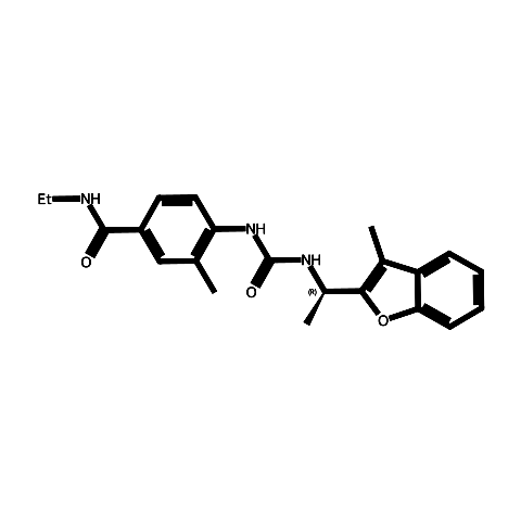 CCNC(=O)c1ccc(NC(=O)N[C@H](C)c2oc3ccccc3c2C)c(C)c1